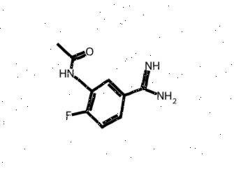 CC(=O)Nc1cc(C(=N)N)ccc1F